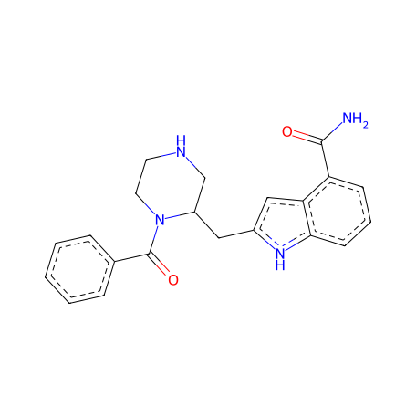 NC(=O)c1cccc2[nH]c(CC3CNCCN3C(=O)c3ccccc3)cc12